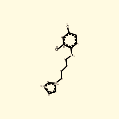 Clc1ccc(OCCCCn2ccnc2)c(Cl)c1